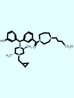 CCOC(=O)CCCN1CCCN(C(=O)c2cccc([C@H](c3cccc(O)c3)N3C[C@@H](C)N(CC4CC4)C[C@@H]3C)c2)CC1